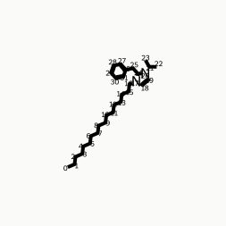 CCCCCCCCCCCCCCCCCN1C=CN(C(C)C)C1Cc1ccccc1